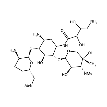 CNC[C@@H]1CC[C@@H](N)[C@@H](O[C@H]2[C@H](O)[C@@H](O[C@H]3OC[C@](C)(O)[C@H](NC)[C@H]3O)[C@H](NC(=O)C(O)C(O)CN)C[C@@H]2N)O1